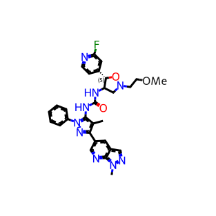 COCCN1CC(NC(=O)Nc2c(C)c(-c3cnc4c(cnn4C)c3)nn2-c2ccccc2)[C@H](c2ccnc(F)c2)O1